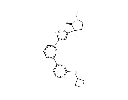 CN1CC[C@@](O)(c2cc(-c3cccc(-c4ccnc(NC5COC5)n4)n3)no2)C1=O